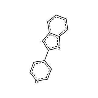 [c]1c(-c2ccncc2)sc2ccccc12